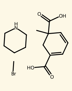 C1CCNCC1.CBr.CC1(C(=O)O)C=CC=C(C(=O)O)C1